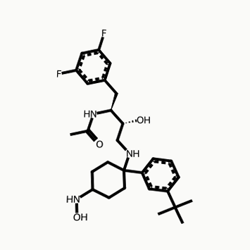 CC(=O)N[C@@H](Cc1cc(F)cc(F)c1)[C@H](O)CNC1(c2cccc(C(C)(C)C)c2)CCC(NO)CC1